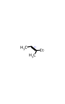 C[CH]/C(C)=C/C